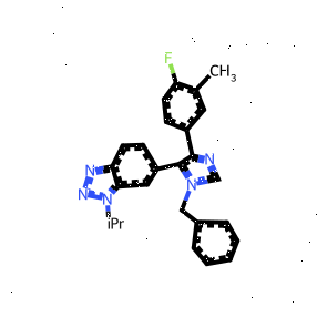 Cc1cc(-c2ncn(Cc3ccccc3)c2-c2ccc3nnn(C(C)C)c3c2)ccc1F